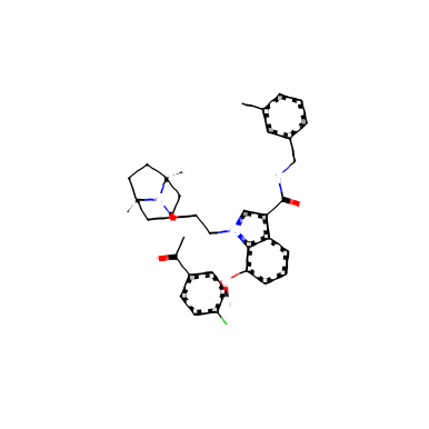 Cc1cccc(CNC(=O)c2cn(CCCN3[C@@H]4CC[C@H]3C[C@@H](CC(=O)c3ccc(Cl)cc3)C4)c3c(OC(C)C)cccc23)c1